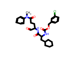 CN(C(=O)CCC(C=O)NC(=O)C(CC1CCCCC1)NC(=O)OCc1cccc(Cl)c1)c1ccccc1